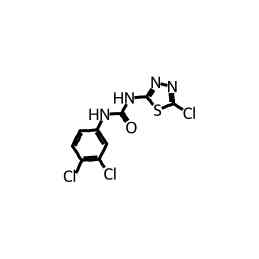 O=C(Nc1ccc(Cl)c(Cl)c1)Nc1nnc(Cl)s1